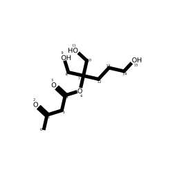 CC(=O)CC(=O)OC(CO)(CO)CCCO